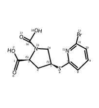 O=C(O)[C@@H]1C[C@H](Sc2cccc(Br)n2)CN1C(=O)O